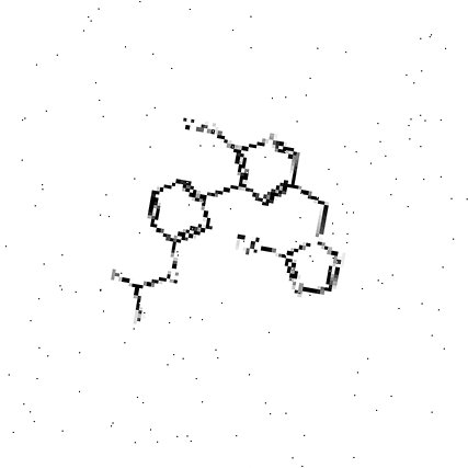 COc1ncc(Cn2ncnc2C(F)(F)F)cc1-c1cccc(OC(F)F)c1